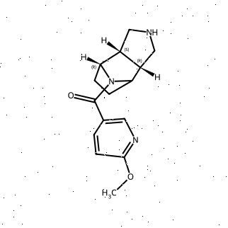 COc1ccc(C(=O)N2C3CC[C@@H]2[C@@H]2CNC[C@H]32)cn1